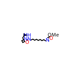 COC(=O)CN(C)CCCCCCCCCNC(=O)NC1(CC2C[C@@H]2C)CCC1